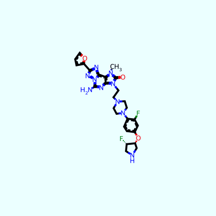 Cn1c(=O)n(CCN2CCN(c3ccc(O[C@H]4CNC[C@@H]4F)cc3F)CC2)c2nc(N)n3nc(-c4ccco4)nc3c21